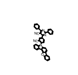 N#Cc1cc(-c2nc(-c3ccccc3)nc(-c3ccccc3)c2C#N)ccc1-n1c2ccccc2c2c3oc4ccccc4c3ccc21